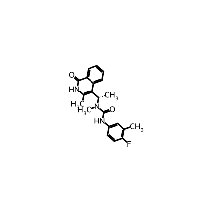 Cc1cc(NC(=O)N(C)[C@@H](C)c2c(C)[nH]c(=O)c3ccccc23)ccc1F